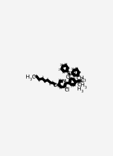 CCCCCCCCOc1cnc(-c2ccc(C(C)(C)C)cc2O[SiH](c2ccccc2)c2ccccc2)c(Cl)c1